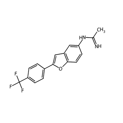 CC(=N)Nc1ccc2oc(-c3ccc(C(F)(F)F)cc3)cc2c1